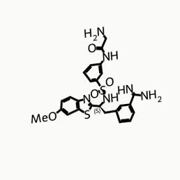 COc1ccc2nc([C@H](Cc3cccc(C(=N)N)c3)NS(=O)(=O)c3cccc(NC(=O)CN)c3)sc2c1